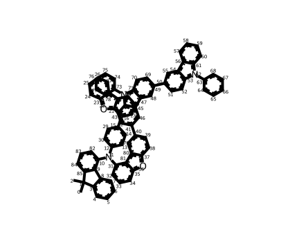 CC1(C)c2ccccc2-c2c(N(c3ccc(-c4cccc5c4oc4ccccc45)cc3)c3cccc4oc5ccc(-c6ccc7c(c6)c6cc(-c8ccc9c(c8)c8ccccc8n9-c8ccccc8)ccc6n7-c6ccccc6)cc5c34)cccc21